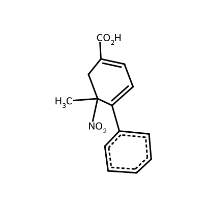 CC1([N+](=O)[O-])CC(C(=O)O)=CC=C1c1ccccc1